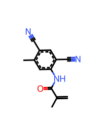 C=C(C)C(=O)Nc1cc(C)c(C#N)cc1C#N